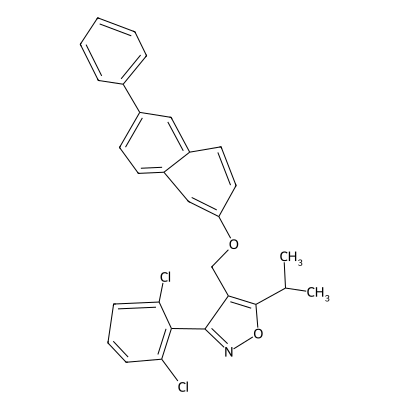 CC(C)c1onc(-c2c(Cl)cccc2Cl)c1COc1ccc2cc(-c3ccccc3)ccc2c1